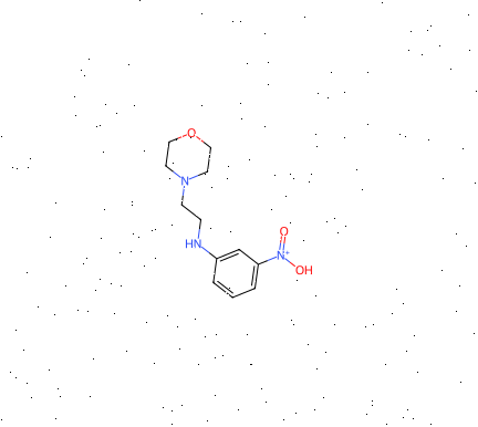 O=[N+](O)c1cccc(NCCN2CCOCC2)c1